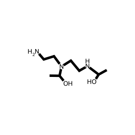 CC(O)NCCN(CCN)C(C)O